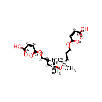 C[Si](C)(CCCOC(=O)/C=C\C(=O)O)O[Si](C)(C)CCCOC(=O)/C=C\C(=O)O